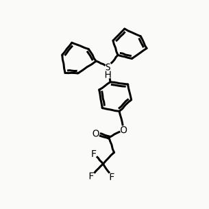 O=C(CC(F)(F)F)Oc1ccc([SH](c2ccccc2)c2ccccc2)cc1